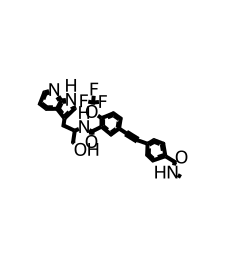 CNC(=O)c1ccc(C#Cc2ccc(OC(F)(F)F)c(C(=O)NC(CO)Cc3c[nH]c4ncccc34)c2)cc1